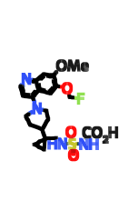 COc1cc2nccc(N3CCC(C4(CNS(=O)(=O)NC(=O)O)CC4)CC3)c2cc1OCF